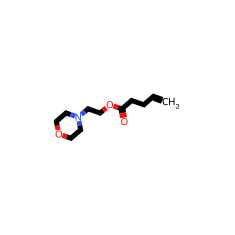 C=CCCC(=O)OCCN1CCOCC1